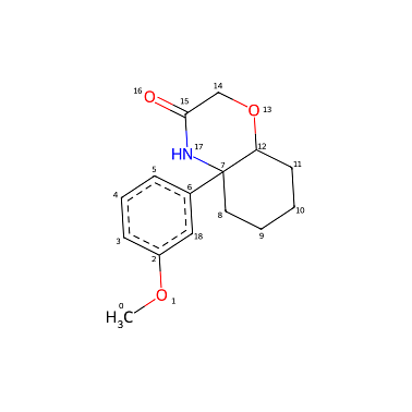 COc1cccc(C23CCCCC2OCC(=O)N3)c1